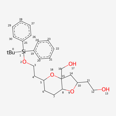 CC(C)(C)[Si](OCCC1CCC2OC(CCO)CC2(CO)O1)(c1ccccc1)c1ccccc1